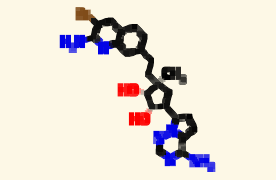 C[C@]1(CCc2ccc3cc(Br)c(N)nc3c2)C=C(c2ccc3c(N)ncnn23)[C@H](O)[C@@H]1O